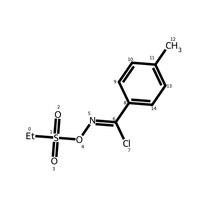 CCS(=O)(=O)O/N=C(\Cl)c1ccc(C)cc1